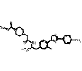 Cc1ccc(-c2nc(-c3ccc(CC(NC(=O)CN4CCN(C(=O)OC(C)(C)C)CC4)C(=O)O)cc3F)no2)cc1